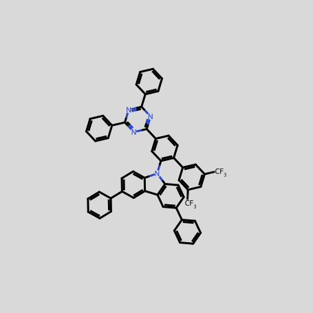 FC(F)(F)c1cc(-c2ccc(-c3nc(-c4ccccc4)nc(-c4ccccc4)n3)cc2-n2c3ccc(-c4ccccc4)cc3c3cc(-c4ccccc4)ccc32)cc(C(F)(F)F)c1